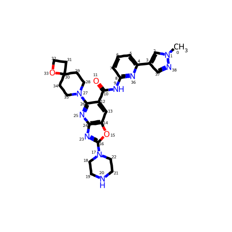 Cn1cc(-c2cccc(NC(=O)c3cc4oc(N5CCNCC5)nc4nc3N3CCC4(CCO4)CC3)n2)cn1